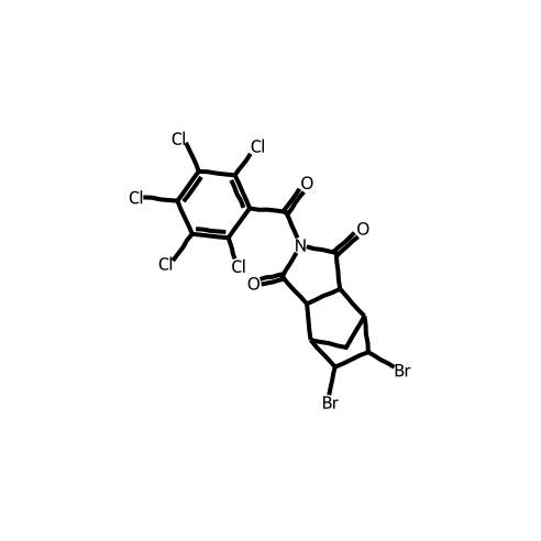 O=C(c1c(Cl)c(Cl)c(Cl)c(Cl)c1Cl)N1C(=O)C2C3CC(C(Br)C3Br)C2C1=O